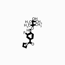 CC(C)(O)C(C)(C)OBc1ccc(C(=O)N2CCC2)cc1F